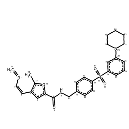 C=N/C=C\c1cc(C(=O)NCc2ccc(S(=O)(=O)c3cccc(N4CCCCC4)c3)cc2)oc1C